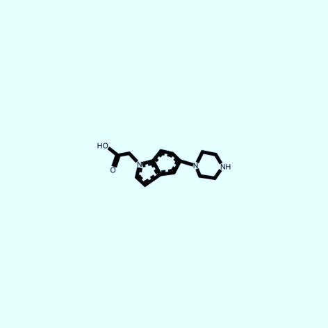 O=C(O)Cn1ccc2cc(N3CCNCC3)ccc21